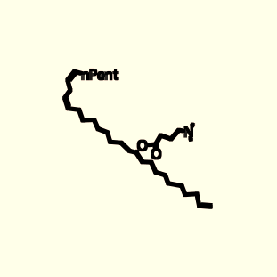 C=CCCCCCCCCC(CCCCCCCC/C=C\C/C=C\CCCCC)OC(=O)CCCN(C)C